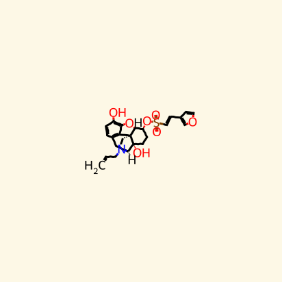 C=CCN1CC[C@]23c4c5ccc(O)c4O[C@H]2[C@@H](OS(=O)(=O)/C=C/c2ccoc2)CC[C@@]3(O)[C@H]1C5